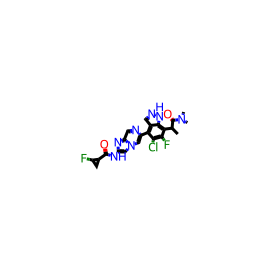 CC(C(=O)N(C)C)c1c(F)c(Cl)c(-c2cn3cc(NC(=O)C4CC4F)nc3cn2)c2cn[nH]c12